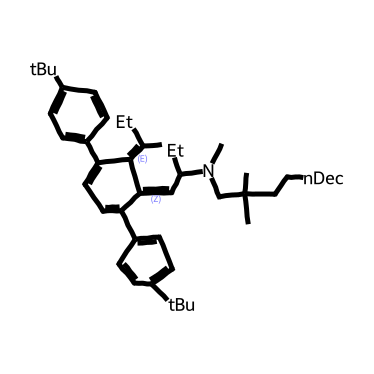 CCCCCCCCCCCCC(C)(C)CN(C)C(/C=c1/c(-c2ccc(C(C)(C)C)cc2)ccc(-c2ccc(C(C)(C)C)cc2)/c1=C(/C)CC)CC